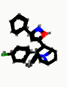 C=CN1C2CCC1C(c1cc(-c3ccccc3)no1)[C@@H](c1ccc(Cl)cc1)C2